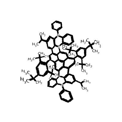 CC(C)c1cc2c3c(c1)N(c1ccccc1)c1ccccc1B3c1cc3c(-c4c(C(C)(C)C)cc(C(C)(C)C)cc4C(C)(C)C)cc4c5c(cc6c(-c7c(C(C)(C)C)cc(C(C)(C)C)cc7C(C)(C)C)cc-2c1c6c35)B1c2ccccc2N(c2ccccc2)c2cc(C(C)C)cc-4c21